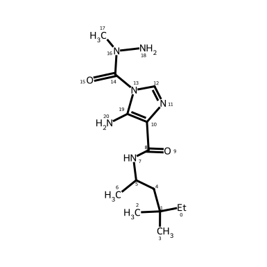 CCC(C)(C)CC(C)NC(=O)c1ncn(C(=O)N(C)N)c1N